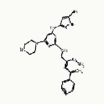 C=C(/C=C(/CNc1nc(Nc2cc(C(C)C)[nH]n2)cc(N2CCNCC2)n1)ON)c1ccccc1